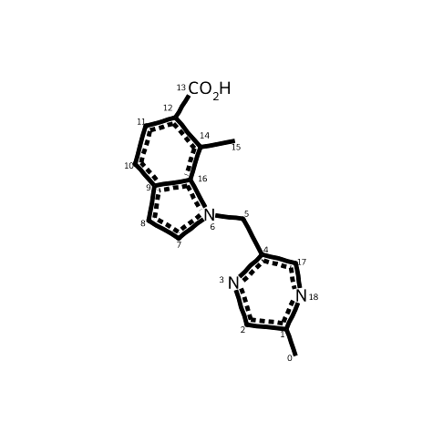 Cc1cnc(Cn2ccc3ccc(C(=O)O)c(C)c32)cn1